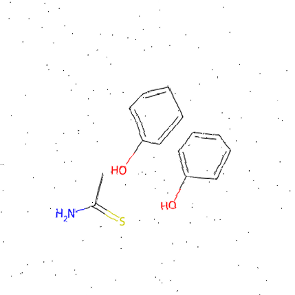 CC(N)=S.Oc1ccccc1.Oc1ccccc1